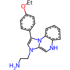 CCOc1ccc(C2=CN(CCN)C3=CNc4ccccc4N23)cc1